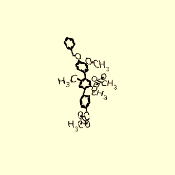 COc1cc(-c2c(C)cc(-c3ccc(OS(C)(=O)=O)cc3)c(OC)c2OS(C)(=O)=O)ccc1OCc1ccccc1